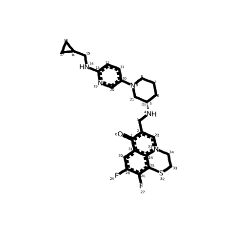 O=c1c(CN[C@H]2CCCN(c3ccc(NCC4CC4)nc3)C2)cn2c3c(c(F)c(F)cc13)SCC2